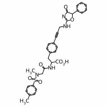 Cc1ccc(S(=O)(=O)N(C)CC(=O)NC(Cc2ccc(C#CCNC3=NC(=O)C(c4ccccc4)O3)cc2)C(=O)O)cc1